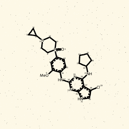 COc1cc(P2(=O)CCN(C3CC3)CC2)ccc1Nc1nc(NC2CCCC2)c2c(Cl)c[nH]c2n1